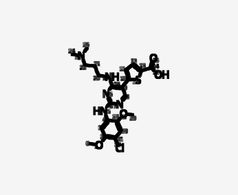 COc1cc(Nc2ncc(-c3ccc(C(=O)O)s3)c(NCCCN(C)C)n2)c(OC)cc1Cl